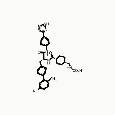 Cc1ccc(C#N)cc1-c1ccc(C[C@H](NC(=O)[C@H]2CC[C@H](CNC(=O)O)CC2)C(=O)Nc2ccc(-c3nn[nH]n3)cc2)cc1